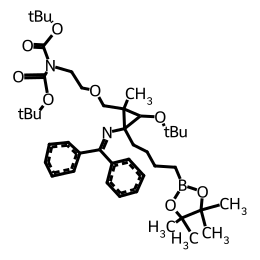 CC(C)(C)OC(=O)N(CCOCC1(C)C(OC(C)(C)C)C1(CCCCB1OC(C)(C)C(C)(C)O1)N=C(c1ccccc1)c1ccccc1)C(=O)OC(C)(C)C